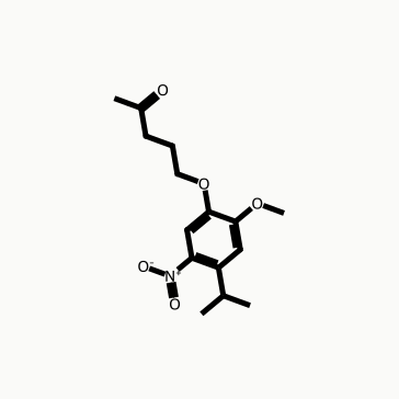 COc1cc(C(C)C)c([N+](=O)[O-])cc1OCCCC(C)=O